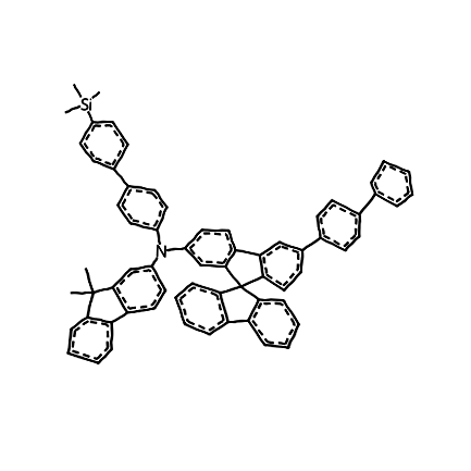 CC1(C)c2ccccc2-c2ccc(N(c3ccc(-c4ccc([Si](C)(C)C)cc4)cc3)c3ccc4c(c3)C3(c5ccccc5-c5ccccc53)c3ccc(-c5ccc(-c6ccccc6)cc5)cc3-4)cc21